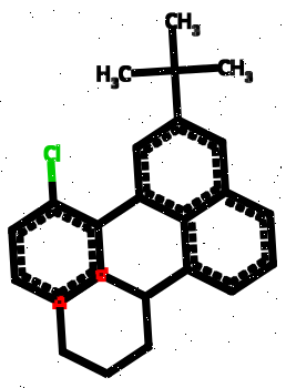 CC(C)(C)c1cc(-c2ccccc2Cl)c2c(C3CCCCC3)cccc2c1